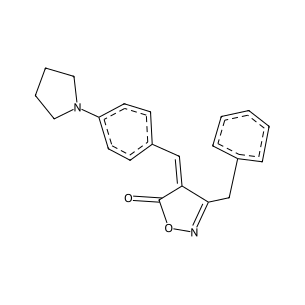 O=C1ON=C(Cc2ccccc2)/C1=C/c1ccc(N2CCCC2)cc1